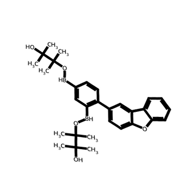 CC(C)(O)C(C)(C)OBc1ccc(-c2ccc3oc4ccccc4c3c2)c(BOC(C)(C)C(C)(C)O)c1